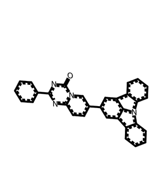 O=c1nc(-c2ccccc2)nc2ccc(-c3cc4c5ccccc5n5c6ccccc6c(c3)c45)cn12